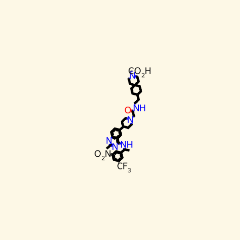 Cc1nc(NC(C)c2cc([N+](=O)[O-])cc(C(F)(F)F)c2)c2cc(C3CCN(CC(=O)NCCC4CCC5(CC4)CCN(C(=O)O)CC5)CC3)ccc2n1